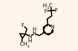 CC1CC1(CF)NNCc1ccnc(CCC(C)(F)F)c1